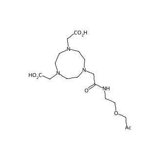 CC(=O)COCCNC(=O)CN1CCN(CC(=O)O)CCN(CC(=O)O)CC1